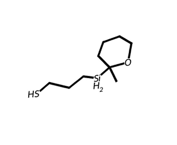 CC1([SiH2]CCCS)CCCCO1